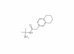 BC(C)(C)NC(=O)Cc1ccc2c(c1)CCCC2